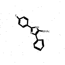 CC(=O)Nc1[nH]c(-c2ccc(F)cc2)nc1-c1ccccc1